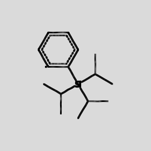 CC(C)[Si](c1[c]cccc1)(C(C)C)C(C)C